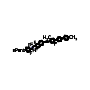 CCCCCc1cc(F)c(/C(F)=C(\F)c2c(F)cc3cc(C#Cc4cc(F)c(-c5ccc(-c6ccc(C)cc6)cc5)cc4C)ccc3c2F)c(F)c1